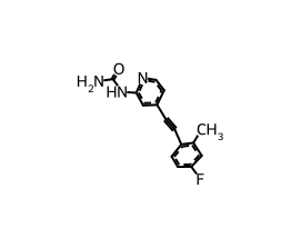 Cc1cc(F)ccc1C#Cc1ccnc(NC(N)=O)c1